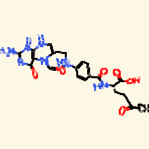 CC(=O)CC[C@H](NC(=O)c1ccc(NCC2CNc3[nH]c(N)nc(=O)c3N2C=O)cc1)C(=O)O